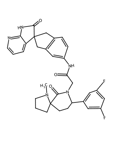 CN1CCCC12CCC(c1cc(F)cc(F)c1)N(CC(=O)Nc1ccc3c(c1)CC1(C3)C(=O)Nc3ncccc31)C2=O